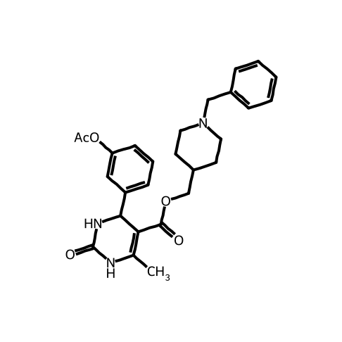 CC(=O)Oc1cccc(C2NC(=O)NC(C)=C2C(=O)OCC2CCN(Cc3ccccc3)CC2)c1